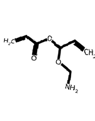 C=CC(=O)OC(C=C)OCN